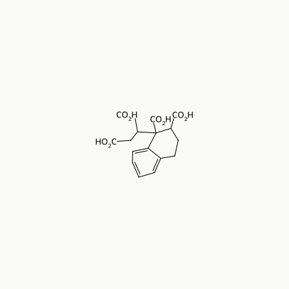 O=C(O)CC(C(=O)O)C1(C(=O)O)c2ccccc2CCC1C(=O)O